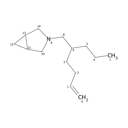 C=CCCC(CCC)CN1CC2CC2C1